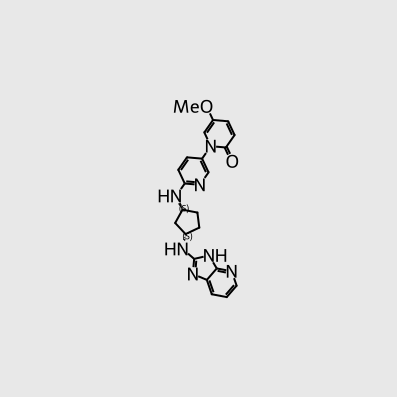 COc1ccc(=O)n(-c2ccc(N[C@H]3CC[C@H](Nc4nc5cccnc5[nH]4)C3)nc2)c1